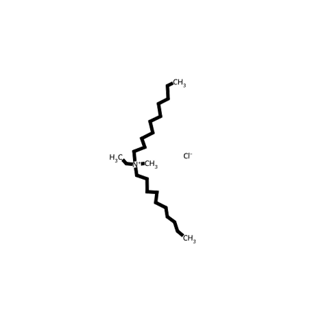 CCCCCCCCCC[N+](C)(CC)CCCCCCCCCC.[Cl-]